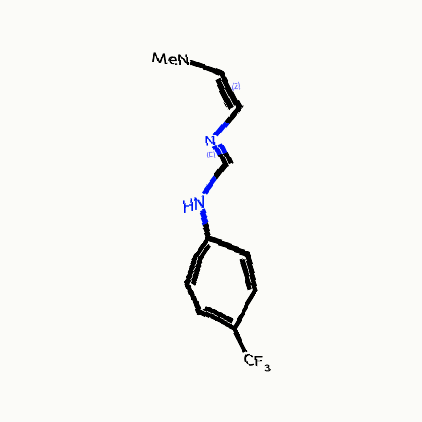 CN/C=C\N=C\Nc1ccc(C(F)(F)F)cc1